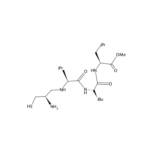 CC[C@H](C)[C@H](NC(=O)[C@@H](NC[C@@H](N)CS)C(C)C)C(=O)N[C@@H](CC(C)C)C(=O)OC